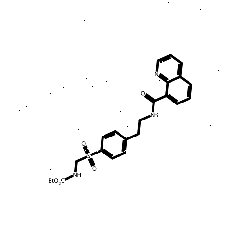 CCOC(=O)NCS(=O)(=O)c1ccc(CCNC(=O)c2cccc3cccnc23)cc1